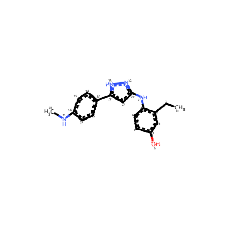 CCc1cc(O)ccc1Nc1cc(-c2ccc(NC)cc2)[nH]n1